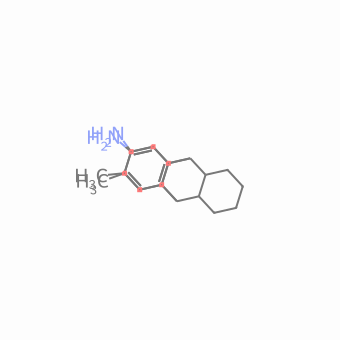 Cc1cc2c(cc1N)C1c3cc(N)c(C)cc3C2C2CCCCC12